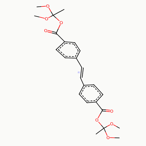 COC(C)(OC)OC(=O)c1ccc(/C=C/c2ccc(C(=O)OC(C)(OC)OC)cc2)cc1